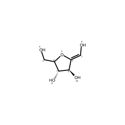 O/C=C1\OC(CO)[C@@H](O)[C@@H]1O